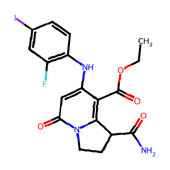 CCOC(=O)c1c(Nc2ccc(I)cc2F)cc(=O)n2c1C(C(N)=O)CC2